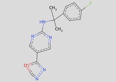 CC(C)(Nc1ncc(-c2nnco2)cn1)c1ccc(F)cc1